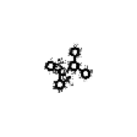 C[Si]1(C)c2ccccc2-c2c3c(n(-c4cc(-c5ccccc5)cc(-c5ccccc5)c4)c21)[Si](C)(C)c1ccccc1-3